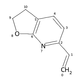 C=Cc1ccc2c(n1)OCC2